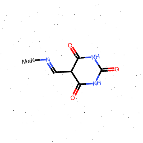 CN/N=C/C1C(=O)NC(=O)NC1=O